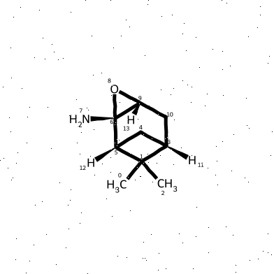 CC1(C)[C@@H]2C[C@H]1[C@]1(N)O[C@@H]1C2